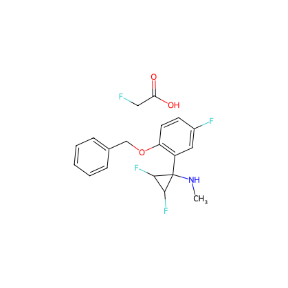 CNC1(c2cc(F)ccc2OCc2ccccc2)C(F)C1F.O=C(O)CF